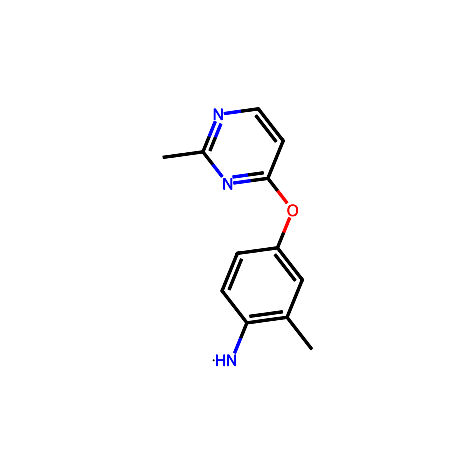 Cc1nccc(Oc2ccc([NH])c(C)c2)n1